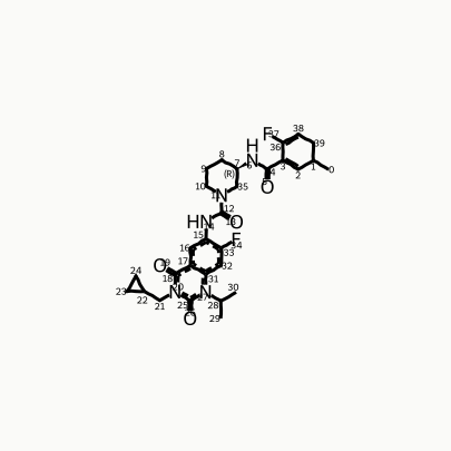 CC1C=C(C(=O)N[C@@H]2CCCN(C(=O)Nc3cc4c(=O)n(CC5CC5)c(=O)n(C(C)C)c4cc3F)C2)C(F)=CC1